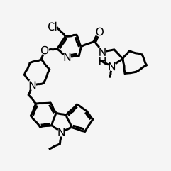 CCn1c2ccccc2c2cc(CN3CCC(Oc4ncc(C(=O)NCC5(N(C)C)CCCCC5)cc4Cl)CC3)ccc21